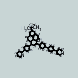 CC(C)(C)c1cc2c3c(c1)CCC1C(c4ccc(-c5ccccn5)cc4)C=C(c4ccc(-c5ccc(-c6ccncc6)cc5)cc4)C(C)(C=C2)C31